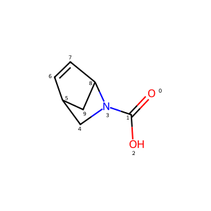 O=C(O)N1CC2C=CC1C2